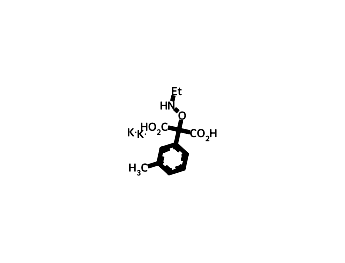 CCNOC(C(=O)O)(C(=O)O)c1cccc(C)c1.[K].[K]